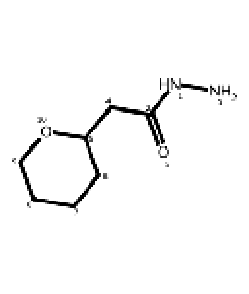 NNC(=O)CC1CCCCO1